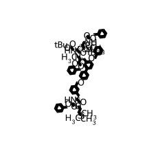 CN(C(=O)[C@H](C[C@H](CNC(=O)OCc1ccccc1)O[Si](C)(C)C(C)(C)C)NC(=O)OC(C)(C)C)[C@@H](Cc1cc(-c2ccc(OCc3cccc(C[C@H](NC(=O)OCc4ccccc4)C(=O)OCC[Si](C)(C)C)c3)cc2)ccc1OCc1ccccc1)C(=O)OCc1ccccc1